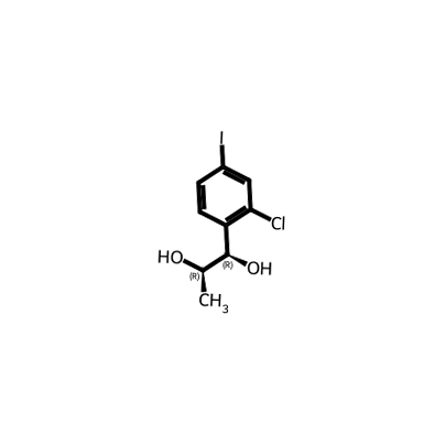 C[C@@H](O)[C@H](O)c1ccc(I)cc1Cl